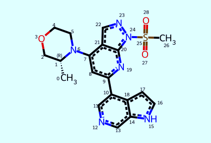 C[C@@H]1COCCN1c1cc(-c2cncc3[nH]ccc23)nc2c1cnn2S(C)(=O)=O